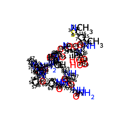 Cc1ncsc1-c1ccc([C@H](C)NC(=O)[C@@H]2C[C@@H](OP(=O)(O)O)CN2C(=O)[C@@H](c2cc(OCCN3CCN(CCOc4cc(N5C6CCC5CN(c5cc(-c7ccccc7OCc7ccc(NC(=O)[C@H](CCCNC(N)=O)NC(=O)C8(C(=O)NCCCCCN9C(=O)C=CC9=O)CCC8)cc7)nnc5N)C6)ccn4)[C@H](C)C3)no2)C(C)C)cc1